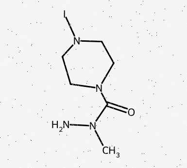 CN(N)C(=O)N1CCN(I)CC1